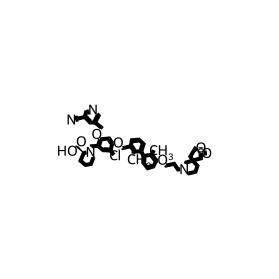 Cc1c(COc2cc(OCc3cncc(C#N)c3)c(CN3CCCC[C@H]3C(=O)O)cc2Cl)cccc1-c1cccc(OCCCN2CCCC3(CCS(=O)(=O)C3)C2)c1C